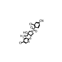 N#Cc1ccc(S(=O)(=O)N2C[C@H](Sc3ccc(Cl)cn3)C(O)(CN)C2)c(Cl)c1